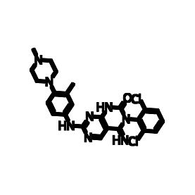 Cc1cc(Nc2ncc3c(=N)n(-c4c(Cl)cccc4Cl)c(=O)[nH]c3n2)ccc1N1CCN(C)CC1